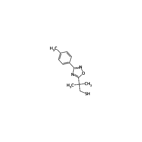 Cc1ccc(-c2noc(C(C)(C)CS)n2)cc1